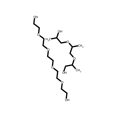 CC(O)COC(C)COC(C)CO.OCCOCCOCCOCCOCCO